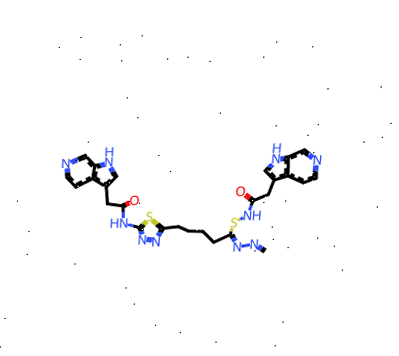 C=N/N=C(/CCCCc1nnc(NC(=O)Cc2c[nH]c3cnccc23)s1)SNC(=O)Cc1c[nH]c2cnccc12